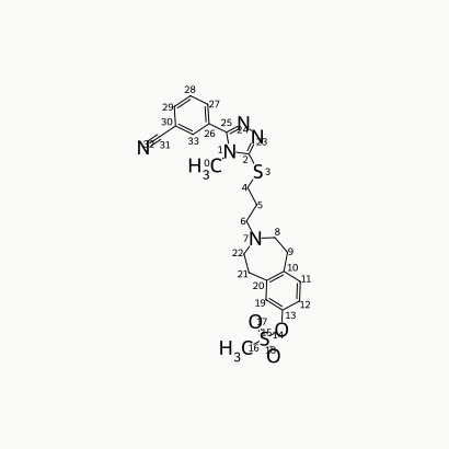 Cn1c(SCCCN2CCc3ccc(OS(C)(=O)=O)cc3CC2)nnc1-c1cccc(C#N)c1